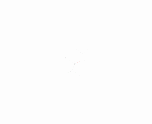 CC(C)OC(F)[C](F)F